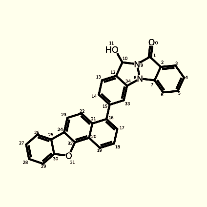 O=c1c2ccccc2n2n1C(O)c1ccc(-c3cccc4c3ccc3c5ccccc5oc43)cc1-2